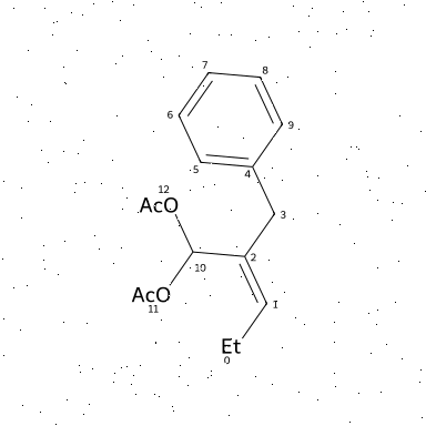 CCC=C(Cc1ccccc1)C(OC(C)=O)OC(C)=O